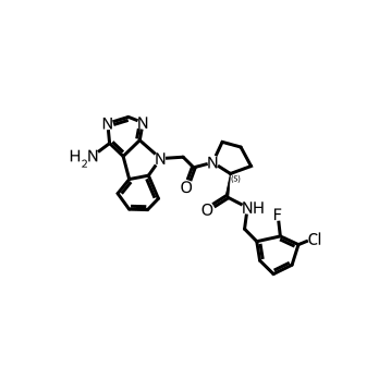 Nc1ncnc2c1c1ccccc1n2CC(=O)N1CCC[C@H]1C(=O)NCc1cccc(Cl)c1F